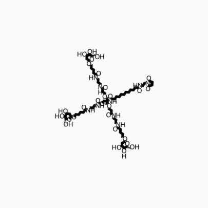 O=C(CCCCO[C@H]1C[C@@H](O)[C@@H](O)[C@@H](CO)O1)NCCCNC(=O)CCOCC(COCCC(=O)NCCCNC(=O)CCCCO[C@H]1C[C@@H](O)[C@@H](O)[C@@H](CO)O1)(COC(=O)NCCCNC(=O)CCCCO[C@H]1C[C@@H](O)[C@@H](O)[C@@H](CO)O1)NC(=O)CCCCCCCCCCC(=O)NCCN1C(=O)C=CC1=O